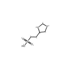 O=S(=O)(O)CCC1COCO1